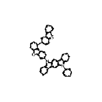 c1ccc(-n2c3ccccc3c3cc4c(cc32)c2ccccc2n4-c2ccc3c(c2)oc2cccc(-c4ccc5sc6ccccc6c5c4)c23)cc1